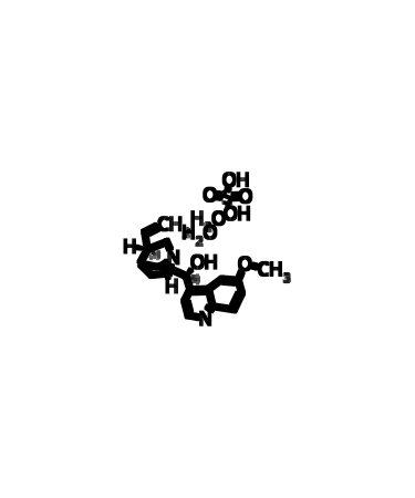 C=C[C@@H]1CN2CCC1C[C@H]2[C@@H](O)c1ccnc2ccc(OC)cc12.O.O.O=S(=O)(O)O